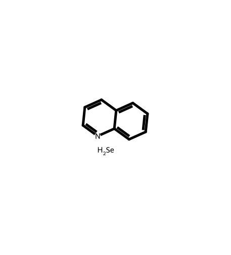 [SeH2].c1ccc2ncccc2c1